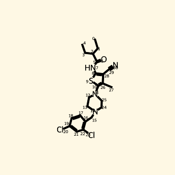 CCC(CC)C(=O)Nc1sc(N2CCN(Cc3ccc(Cl)cc3Cl)CC2)c(C)c1C#N